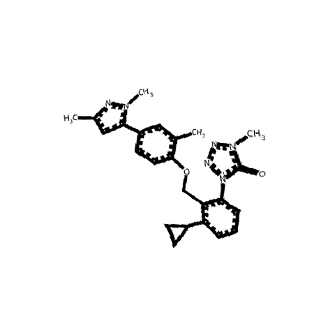 Cc1cc(-c2ccc(OCc3c(C4CC4)cccc3-n3nnn(C)c3=O)c(C)c2)n(C)n1